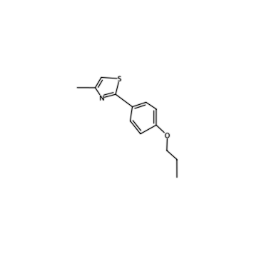 CCCOc1ccc(-c2nc(C)cs2)cc1